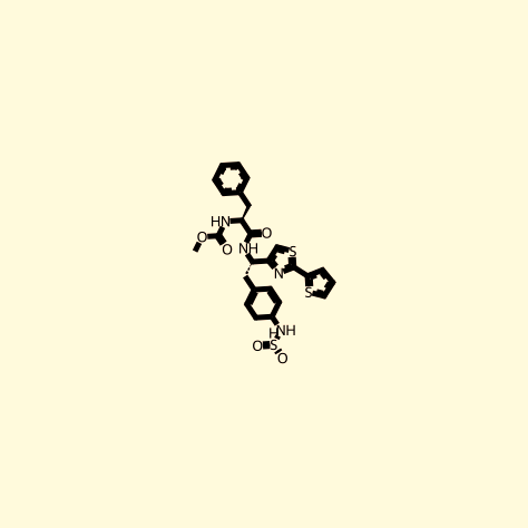 COC(=O)N[C@@H](Cc1ccccc1)C(=O)N[C@@H](CC1=CCC(N[SH](=O)=O)C=C1)c1csc(-c2cccs2)n1